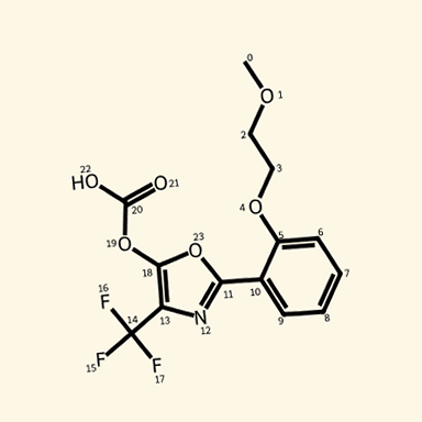 COCCOc1ccccc1-c1nc(C(F)(F)F)c(OC(=O)O)o1